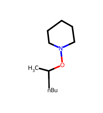 CCCCC(C)ON1CCCCC1